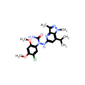 COc1cc(OC)c(N(Nc2cc(C(C)C)c3c(n2)c(C)nn3C)C(N)=O)cc1Cl